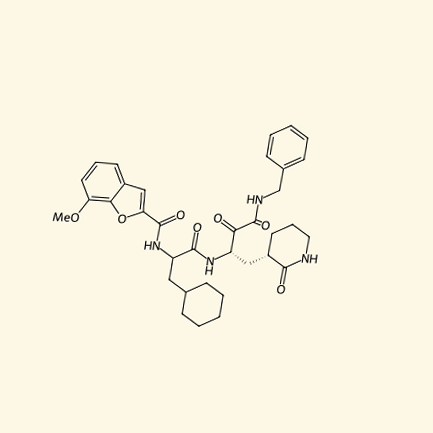 COc1cccc2cc(C(=O)NC(CC3CCCCC3)C(=O)N[C@@H](C[C@@H]3CCCNC3=O)C(=O)C(=O)NCc3ccccc3)oc12